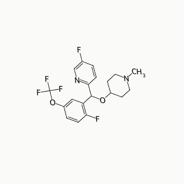 CN1CCC(OC(c2ccc(F)cn2)c2cc(OC(F)(F)F)ccc2F)CC1